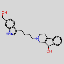 OCc1ccc2c(CCCCN3CCC4=C(C3)C(O)c3ccccc34)c[nH]c2c1